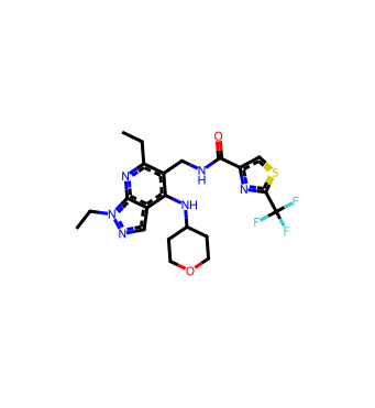 CCc1nc2c(cnn2CC)c(NC2CCOCC2)c1CNC(=O)c1csc(C(F)(F)F)n1